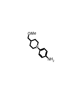 COCC1CCN(c2ccc(N)cc2)CC1